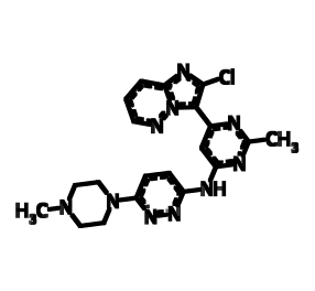 Cc1nc(Nc2ccc(N3CCN(C)CC3)nn2)cc(-c2c(Cl)nc3cccnn23)n1